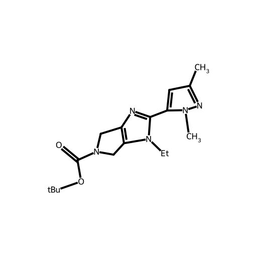 CCn1c(-c2cc(C)nn2C)nc2c1CN(C(=O)OC(C)(C)C)C2